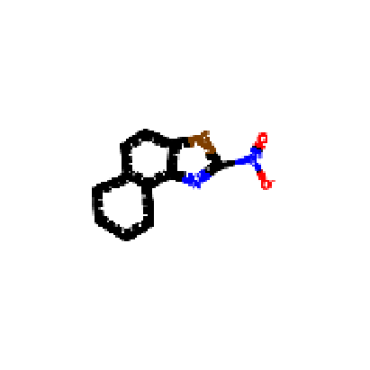 O=[N+]([O-])c1nc2c(ccc3ccccc32)s1